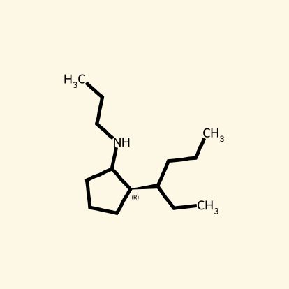 CCCNC1CCC[C@@H]1C(CC)CCC